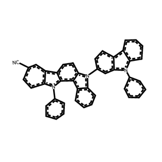 N#Cc1ccc2c(c1)c1ccc3c(c4ccccc4n3-c3ccc4c5ccccc5n(-c5ccccc5)c4c3)c1n2-c1ccccc1